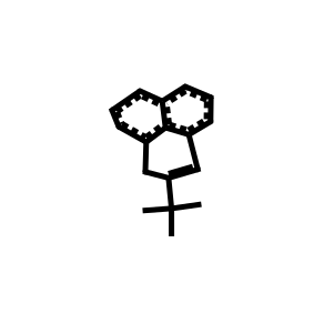 CC(C)(C)C1=Cc2cccc3cccc(c23)C1